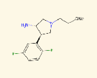 COCCN1C[C@@H](N)[C@H](c2cc(F)ccc2F)C1